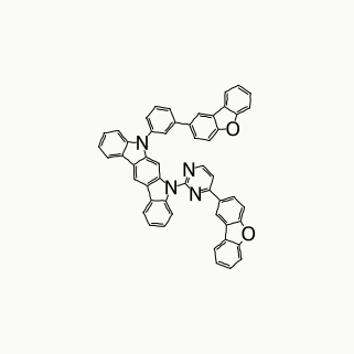 c1cc(-c2ccc3oc4ccccc4c3c2)cc(-n2c3ccccc3c3cc4c5ccccc5n(-c5nccc(-c6ccc7oc8ccccc8c7c6)n5)c4cc32)c1